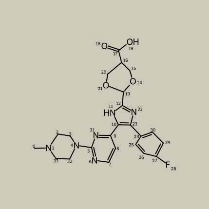 CN1CCN(c2nccc(-c3[nH]c(C4OCC(C(=O)O)CO4)nc3-c3ccc(F)cc3)n2)CC1